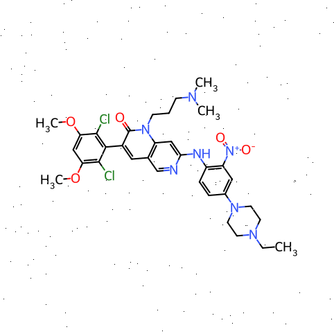 CCN1CCN(c2ccc(Nc3cc4c(cn3)cc(-c3c(Cl)c(OC)cc(OC)c3Cl)c(=O)n4CCCN(C)C)c([N+](=O)[O-])c2)CC1